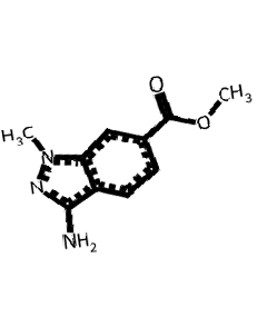 COC(=O)c1ccc2c(N)nn(C)c2c1